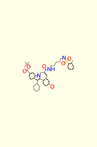 COc1ccc2c(c1)C=C(C(=O)NCCCCCN(C)S(=O)(=O)c1ccccc1C)Cn1c-2c(C2CCCCC2)c2ccc(C(=O)OC(C)(C)C)cc21